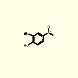 C[S+]([O-])c1ccc(O)c(C(C)(C)C)c1